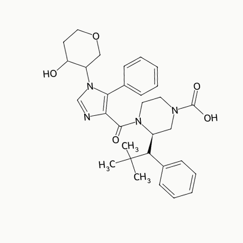 CC(C)(C)C(c1ccccc1)[C@@H]1CN(C(=O)O)CCN1C(=O)c1ncn(C2COCCC2O)c1-c1ccccc1